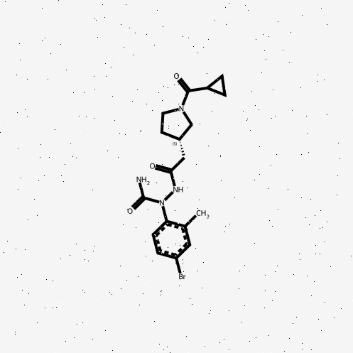 Cc1cc(Br)ccc1N(NC(=O)C[C@@H]1CCN(C(=O)C2CC2)C1)C(N)=O